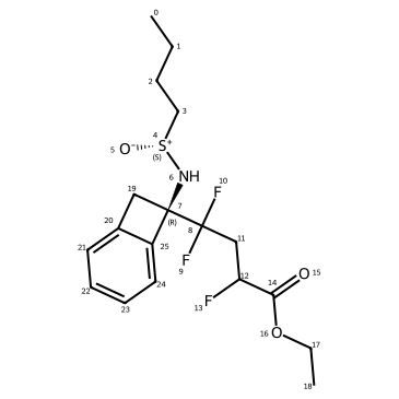 CCCC[S@@+]([O-])N[C@]1(C(F)(F)CC(F)C(=O)OCC)Cc2ccccc21